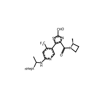 CCCCCCCC(C)Nc1cc(C(F)(F)F)c(-c2sc(C=O)nc2C(=O)N2CC[C@@H]2C)cn1